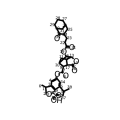 CC(C)c1cc(OC(=O)C2C3CC4C(OC(=O)C42)C3OC(=O)CCC2CC3CCCC(C3)C2=O)cc(C(C)C)c1S(=O)(=O)O